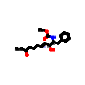 COC(=O)CCC/C=C/[C@@H](O)[C@H](Cc1ccccc1)NC(=O)OC(C)(C)C